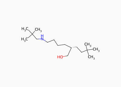 CC(C)(C)CC[C@H](CO)CCCCNCC(C)(C)C